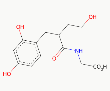 O=C(O)CNC(=O)C(CCO)Cc1ccc(O)cc1O